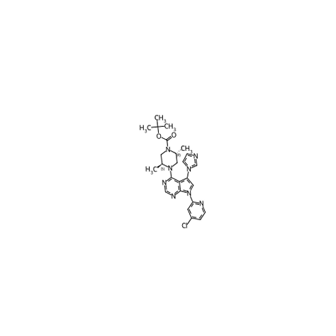 C[C@@H]1CN(c2ncnc3c2c(-n2ccnc2)cn3-c2cc(Cl)ccn2)[C@@H](C)CN1C(=O)OC(C)(C)C